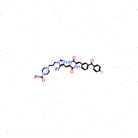 CC(C)C(=O)N1CCN(CCCn2cnc(/C=c3\[nH]c(=O)/c(=C/c4cccc(C(=O)c5ccc(F)cc5)c4)[nH]c3=O)c2C(C)C)CC1